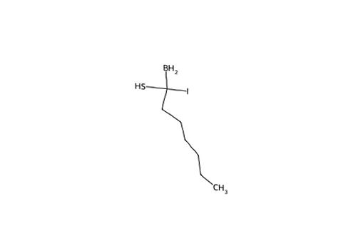 BC(S)(I)CCCCCC